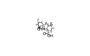 Cc1ccc(NC2=C(C(=O)O)C=CC(F)C2F)[n+]([O-])c1